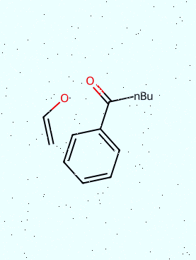 C=C[O].CCCCC(=O)c1ccccc1